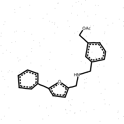 CC(=O)OCc1cccc(CNCc2ccc(-c3ccccc3)o2)c1